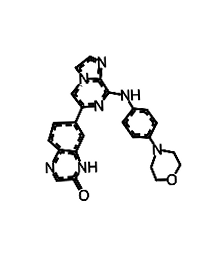 O=c1cnc2ccc(-c3cn4ccnc4c(Nc4ccc(N5CCOCC5)cc4)n3)cc2[nH]1